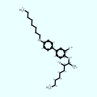 CCCCCCCCOc1ccc(-c2ccc(OC(C)C(F)CCCCCC)c(F)c2)cc1